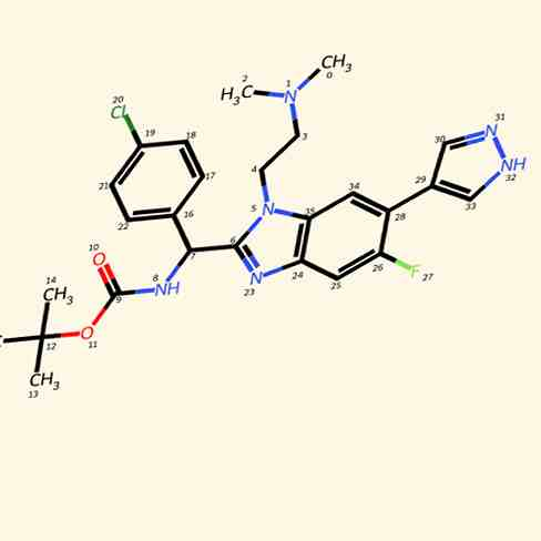 CN(C)CCn1c(C(NC(=O)OC(C)(C)C)c2ccc(Cl)cc2)nc2cc(F)c(-c3cn[nH]c3)cc21